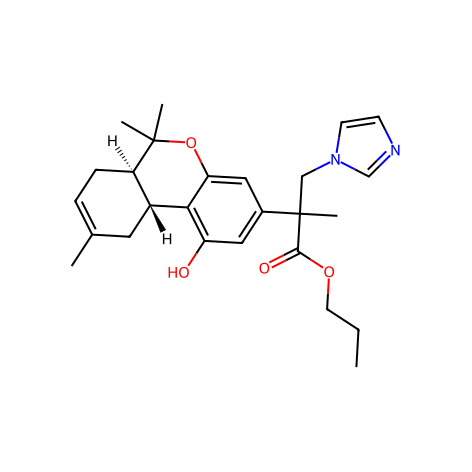 CCCOC(=O)C(C)(Cn1ccnc1)c1cc(O)c2c(c1)OC(C)(C)[C@@H]1CC=C(C)C[C@@H]21